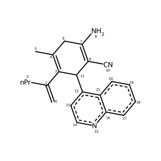 C=C(CCC)C1=C(C)CC(N)=C(C#N)C1c1ccnc2ccccc12